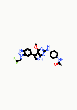 COc1nc(N[C@H]2CC[C@H](NC(C)=O)CC2)nc2[nH]cc(-c3ccc4nnn(CC(F)F)c4c3)c12